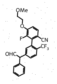 COCCOc1ccc(C#N)c(-c2cc(C(C=O)c3ccccc3)ccc2C(F)(F)F)c1F